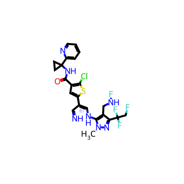 Cn1nc(C(F)(F)CF)c(CNF)c1N/C=C(\C=N)c1cc(C(=O)NC2(c3ccccn3)CC2)c(Cl)s1